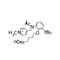 CCCCCCCCCCCCCCOc1c(N(Cc2cc[n+](C)cc2)C(C)=O)cccc1C(C)(C)C.[I-]